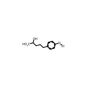 CCOc1ccc(CCCC(O)C(=O)O)cc1